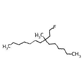 CCCCCCCC(C)(CCF)CCCCCC